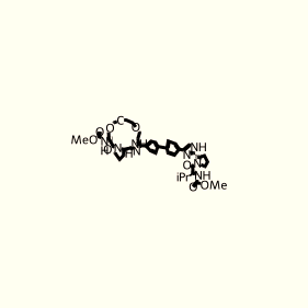 COC(=O)N[C@H]1COCCCCOCc2[nH]c(nc2-c2ccc(-c3ccc(-c4c[nH]c([C@@H]5CCCN5C(=O)[C@@H](NC(=O)OC)C(C)C)n4)cc3)cc2)[C@@H]2CCCN2C1=O